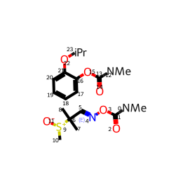 CNC(=O)O/N=C/C(C)(C)[S+](C)[O-].CNC(=O)Oc1ccccc1OC(C)C